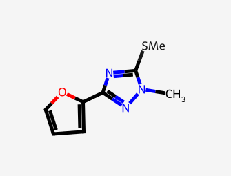 CSc1nc(-c2ccco2)nn1C